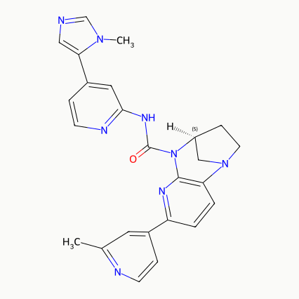 Cc1cc(-c2ccc3c(n2)N(C(=O)Nc2cc(-c4cncn4C)ccn2)[C@H]2CCN3C2)ccn1